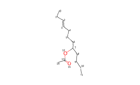 CC/C=C/CCCC(CCCC)OC(C)=O